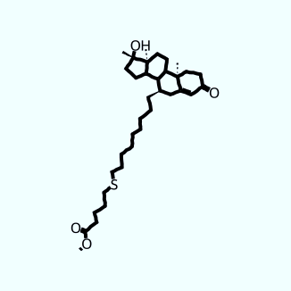 COC(=O)CCCCSCCCCCCCCC[C@@H]1CC2=CC(=O)CC[C@]2(C)C2CC[C@@]3(C)C(CC[C@]3(C)O)C21